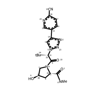 CNC(=O)[C@@H]1C[C@@H](O)CN1C(=O)[C@@H](n1cc(-c2ccc(C#N)nc2)nn1)C(C)(C)C